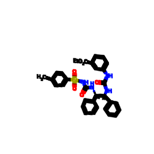 CCOC(=O)c1cccc(NC(=O)N[C@@H](c2ccccc2)[C@@H](NC(=O)NS(=O)(=O)c2ccc(C)cc2)c2ccccc2)c1